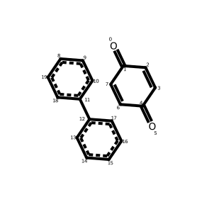 O=C1C=CC(=O)C=C1.c1ccc(-c2ccccc2)cc1